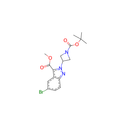 COC(=O)c1c2cc(Br)ccc2nn1C1CN(C(=O)OC(C)(C)C)C1